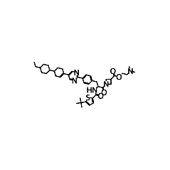 CCC1CCC(C2CC=C(c3cnc(-c4ccc(CC(NC(=O)c5ccc(C(C)(C)C)s5)C(=O)N5CC(C(=O)OCCN(C)C)C5)cc4)nc3)CC2)CC1